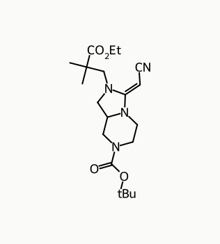 CCOC(=O)C(C)(C)CN1CC2CN(C(=O)OC(C)(C)C)CCN2C1=CC#N